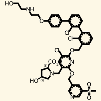 CS(=O)(=O)c1cncc(COc2nc(OCc3cccc(-c4cccc(-c5ccc(OCCNCCO)cc5)c4Cl)c3Cl)c(Cl)cc2CN2C[C@@H](O)C[C@H]2C(=O)O)c1